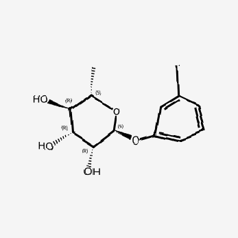 [CH2]c1cccc(O[C@@H]2O[C@@H](C)[C@H](O)[C@@H](O)[C@H]2O)c1